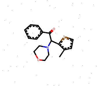 Cc1ccsc1C(C(=O)c1ccccc1)N1CCOCC1